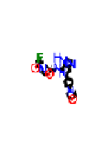 CC(C)(F)C(=O)N1CCO[C@](C)(CNc2nc(-c3ccc(N4CCOCC4)cc3)cc3nccnc23)C1